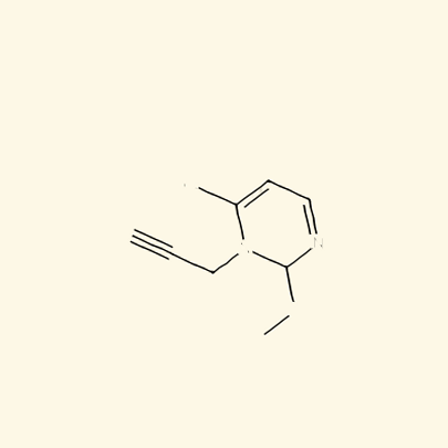 C#CCN1C(Cl)=CC=NC1SC